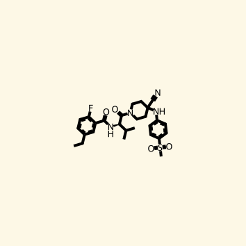 CCc1ccc(F)c(C(=O)N[C@@H](C(=O)N2CCC(C#N)(Nc3ccc(S(C)(=O)=O)cc3)CC2)C(C)C)c1